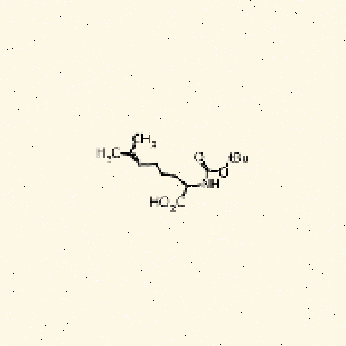 CC(C)=CCCCC(NC(=O)OC(C)(C)C)C(=O)O